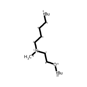 CN(CCCCC(C)(C)C)CCOC(C)(C)C